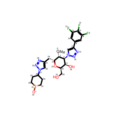 CO[C@@H]1[C@@H](n2cc(-c3cc(F)c(F)c(F)c3)nn2)[C@@H](O)[C@@H](CO)O[C@@H]1Cc1cn(C2CC[S+]([O-])CC2)nn1